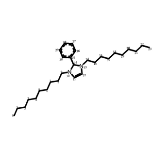 CCCCCCCCCCN1C=CN(CCCCCCCCCC)C1c1ccccc1